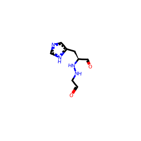 O=CCNN[C@H](C=O)Cc1cnc[nH]1